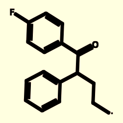 [CH2]CCC(C(=O)c1ccc(F)cc1)c1ccccc1